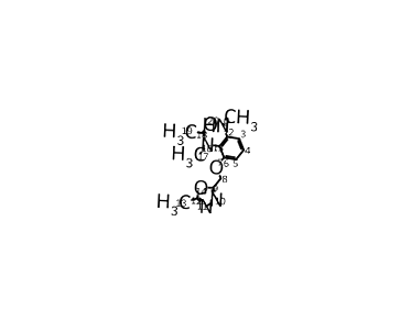 CNc1cccc(OCc2nnc(C)o2)c1N(C)C(C)=O